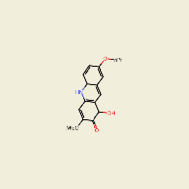 CCCOC1=CC2=CC3=C(C=C(OC)C(=O)C3O)NC2C=C1